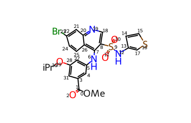 COC(=O)c1cc(Nc2c(S(=O)(=O)Nc3ccsc3)cnc3cc(Br)ccc23)cc(OC(C)C)c1